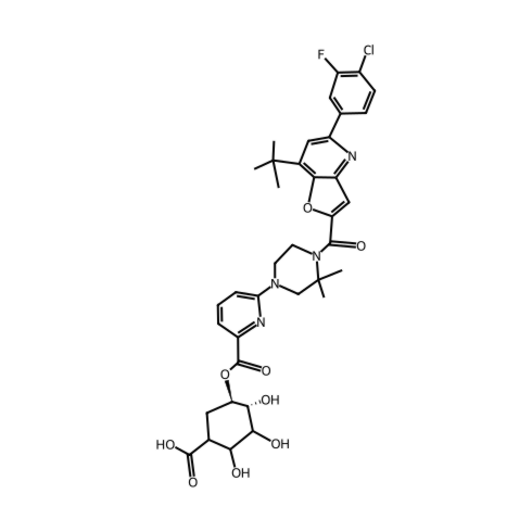 CC(C)(C)c1cc(-c2ccc(Cl)c(F)c2)nc2cc(C(=O)N3CCN(c4cccc(C(=O)O[C@@H]5CC(C(=O)O)C(O)C(O)[C@H]5O)n4)CC3(C)C)oc12